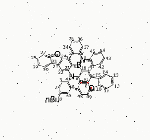 CCCCc1ccc(N2c3cc4oc5ccccc5c4cc3B3c4c2cc2c(oc5ccccc52)c4-c2ccccc2N3c2ccccc2)c(-c2ccccc2)c1